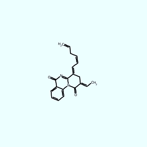 C=CC/C=C\C=C1/C/C(=C\C)C(=O)n2c1nc(=O)c1ccccc12